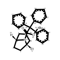 CC[C@]12CC[C@H](CN(C(c3ccccc3)(c3ccccc3)c3ccccc3)C1)N2C(=O)OC(C)(C)C